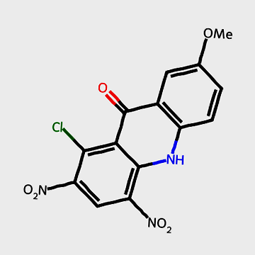 COc1ccc2[nH]c3c([N+](=O)[O-])cc([N+](=O)[O-])c(Cl)c3c(=O)c2c1